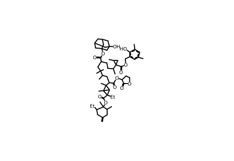 C=C1CC(C)C(C)(OC(=O)C2(CC)C3C(C)(C(CC(C)C(C)(C)CC(CCC(C)C4(C(=O)OCc5cc(C)cc(C)c5O)CC4C)C(=O)OC45CC6CC(CC(O)(C6)C4)C5)C(=O)OC4CCOC4=O)C32C)C(CC)C1